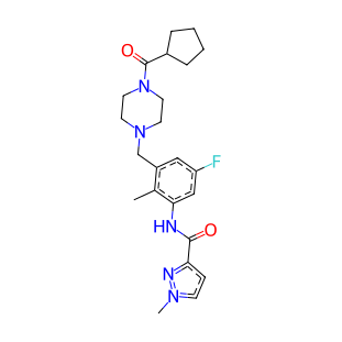 Cc1c(CN2CCN(C(=O)C3CCCC3)CC2)cc(F)cc1NC(=O)c1ccn(C)n1